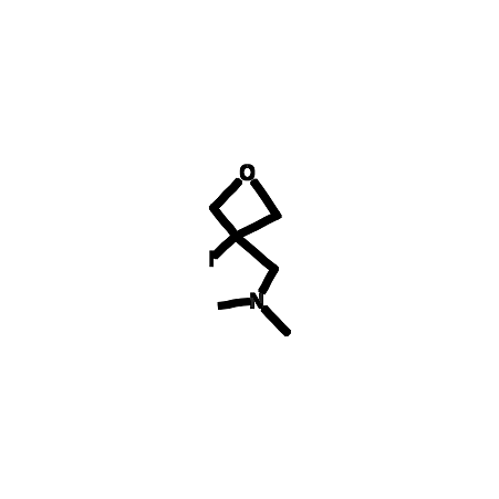 CN(C)CC1(I)COC1